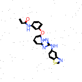 C=CC(=O)Nc1cccc(Oc2cccc3nc(Nc4ccc5scnc5c4)nn23)c1